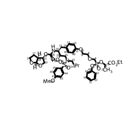 CCOC(=O)[C@H](C)OP(=O)(COCCOc1ccc(C[C@H](NC(=O)O[C@H]2CO[C@H]3OCC[C@H]32)[C@H](O)CN(CC(C)C)S(=O)(=O)c2ccc(OC)cc2)cc1)Oc1ccccc1